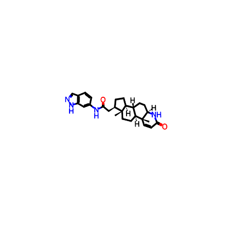 C[C@]12C=CC(=O)N[C@@H]1CC[C@@H]1[C@@H]2CC[C@]2(C)[C@@H](CC(=O)Nc3ccc4cn[nH]c4c3)CC[C@@H]12